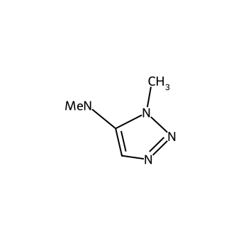 CNc1cnnn1C